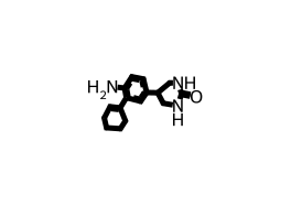 Nc1ccc(C2CNC(=O)NC2)cc1C1=CCCCC1